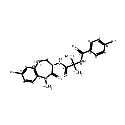 CN1C(=O)[C@H](NC(=O)C(C)(C)NC(=O)c2ccc(F)cc2)CNc2cc(F)ccc21